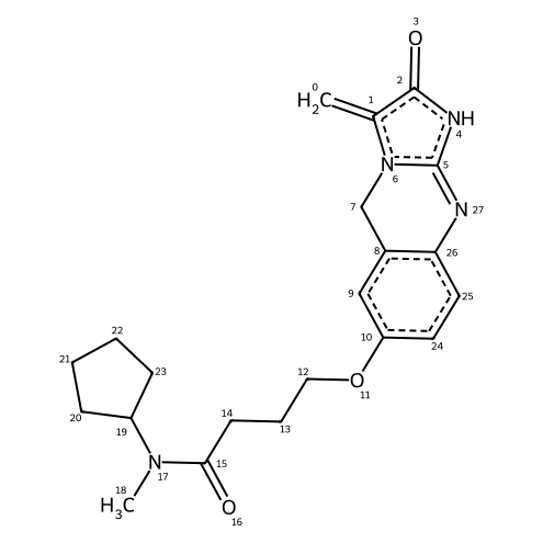 C=c1c(=O)[nH]c2n1Cc1cc(OCCCC(=O)N(C)C3CCCC3)ccc1N=2